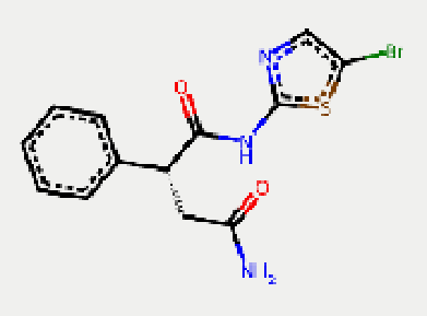 NC(=O)C[C@@H](C(=O)Nc1ncc(Br)s1)c1ccccc1